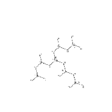 CC(CN(C)C)[CH2][SnH]([CH2]C(C)CN(C)C)[CH2]C(C)CN(C)C